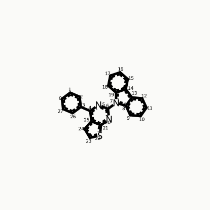 c1ccc(-c2nc(-n3c4ccccc4c4ccccc43)nc3sccc23)cc1